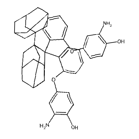 Nc1cc(Oc2ccccc2C2(c3ccccc3Oc3ccc(O)c(N)c3)C3CC4CC(C3)CC2(C23CC5CC(CC(C5)C2)C3)C4)ccc1O